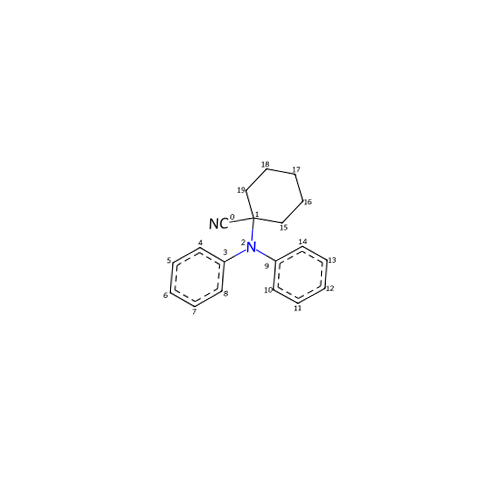 N#CC1(N(c2ccccc2)c2ccccc2)CCCCC1